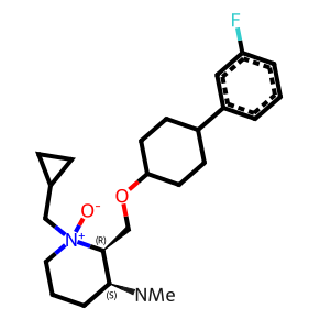 CN[C@H]1CCC[N+]([O-])(CC2CC2)[C@H]1COC1CCC(c2cccc(F)c2)CC1